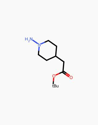 CC(C)(C)OC(=O)CC1CCN(N)CC1